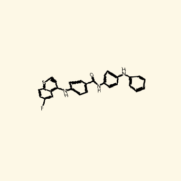 O=C(Nc1ccc(Nc2ccccc2)cc1)c1ccc(Nc2ccnc3ccc(F)cc23)cc1